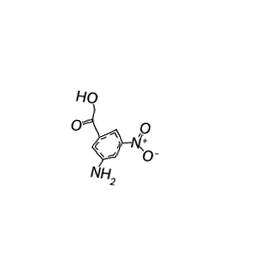 Nc1cc(C(=O)CO)cc([N+](=O)[O-])c1